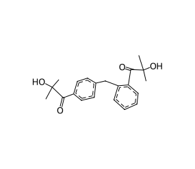 CC(C)(O)C(=O)c1ccc(Cc2ccccc2C(=O)C(C)(C)O)cc1